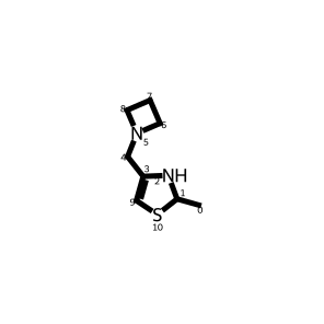 CC1NC(CN2CCC2)=CS1